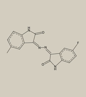 Cc1ccc2c(c1)/C(=N/N=C1\C(=O)Nc3ccc(F)cc31)C(=O)N2